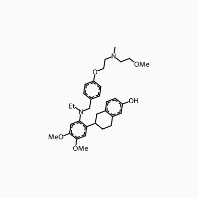 CCN(Cc1ccc(OCCN(C)CCOC)cc1)c1cc(OC)c(OC)cc1C1CCc2cc(O)ccc2C1